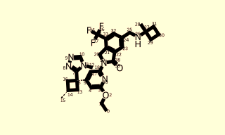 CCOc1cc([C@]2(c3nncn3C)C[C@H](C)C2)cc(N2Cc3c(cc(CNC4(C)CCC4)cc3C(F)(F)F)C2=O)n1